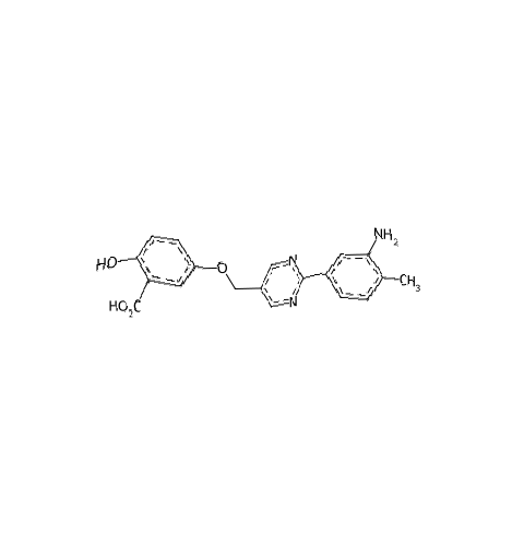 Cc1ccc(-c2ncc(COc3ccc(O)c(C(=O)O)c3)cn2)cc1N